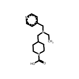 CCN(Cc1ccncc1)CC1CCN(C(=O)O)CC1